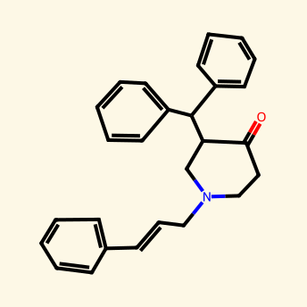 O=C1CCN(CC=Cc2ccccc2)CC1C(c1ccccc1)c1ccccc1